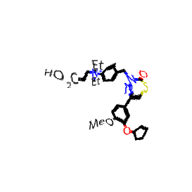 CC[N+](CC)(CCC(=O)O)c1ccc(CN2N=C(c3ccc(OC)c(OC4CCCC4)c3)CSC2=O)cc1